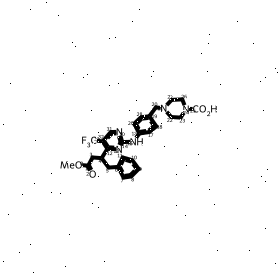 COC(=O)CC(Cc1ccccc1)c1nc(Nc2ccc(CN3CCN(C(=O)O)CC3)cc2)ncc1C(F)(F)F